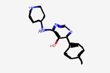 Cc1ccc(-c2ncnc(NC3CCNCC3)c2O)cc1